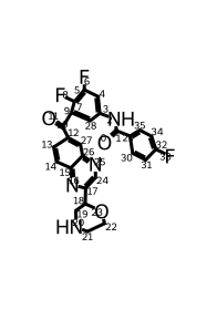 O=C(Nc1cc(F)c(F)c(C(=O)c2ccc3nc(C4CNCCO4)cnc3c2)c1)c1ccc(F)cc1